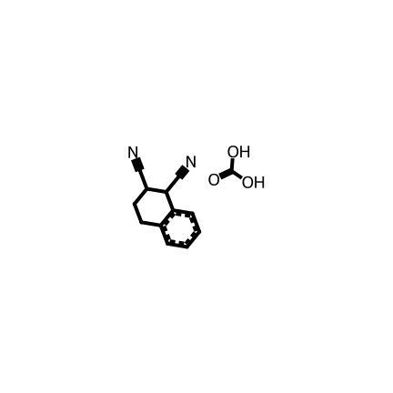 N#CC1CCc2ccccc2C1C#N.O=C(O)O